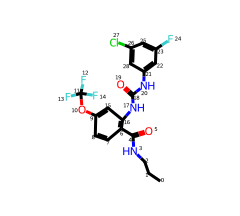 CCCNC(=O)c1ccc(OC(F)(F)F)cc1NC(=O)Nc1cc(F)cc(Cl)c1